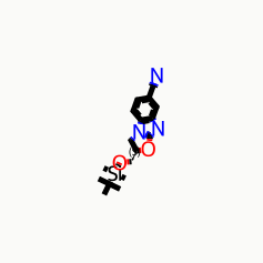 CC(C)(C)[Si](C)(C)OC[C@@H]1Cn2c(nc3cc(C#N)ccc32)O1